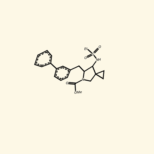 CCS(=O)(=O)NC1C(Cc2cccc(-c3ccccc3)c2)N(C(=O)OC)CC12CC2